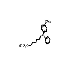 CCOC(=O)CCCCCCN(c1ccc(OC)nc1)c1ccccn1